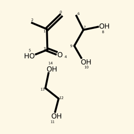 C=C(C)C(=O)O.CC(O)CO.OCCO